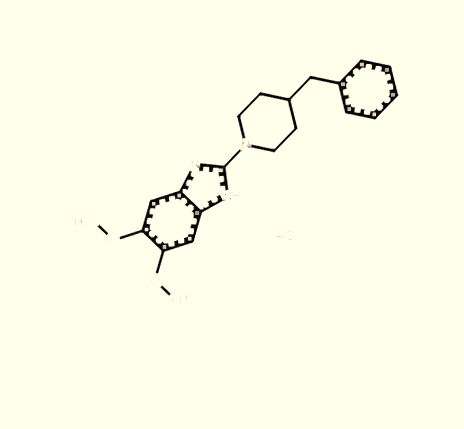 COc1cc2nc(N3CCC(Cc4ccccc4)CC3)[nH]c2cc1OC.Cl